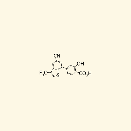 N#Cc1cc(-c2ccc(C(=O)O)c(O)c2)c2scc(C(F)(F)F)c2c1